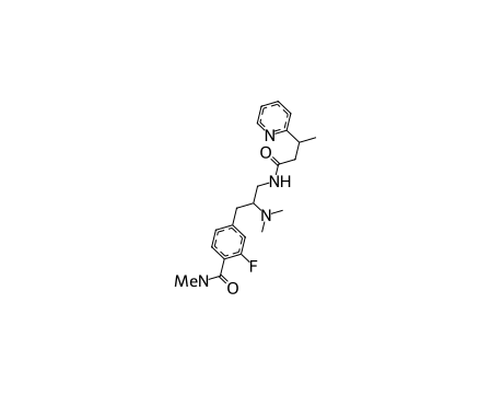 CNC(=O)c1ccc(CC(CNC(=O)CC(C)c2ccccn2)N(C)C)cc1F